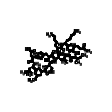 CC[C@H](C)[C@H](NC(=O)[C@H](CCC(N)=O)NC(=O)[C@H](CCCCN)NC(=O)[C@H](CCCCN)NC(=O)[C@H](CC(C)C)NC(=O)[C@H](Cc1c[nH]cn1)NC(=O)[C@H](CO)NC(=O)[C@H](CCSC)NC(=O)[C@H](CC(C)C)NC(=O)[C@@H](N)CC(=O)O)C(=O)O